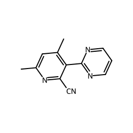 Cc1cc(C)c(-c2ncccn2)c(C#N)n1